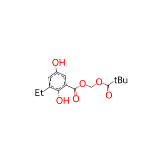 CCc1cc(O)cc(C(=O)OCOC(=O)C(C)(C)C)c1O